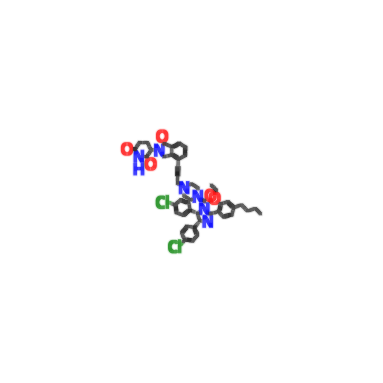 CCCCc1ccc(C2=N[C@@H](c3ccc(Cl)cc3)[C@@H](c3ccc(Cl)cc3)N2C(=O)N2CCN(CC#Cc3cccc4c3CN(C3CCC(=O)NC3=O)C4=O)CC2)c(OCC)c1